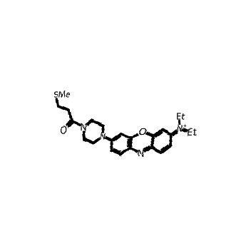 CC[N+](CC)=c1ccc2nc3ccc(N4CCN(C(=O)CCSC)CC4)cc3oc-2c1